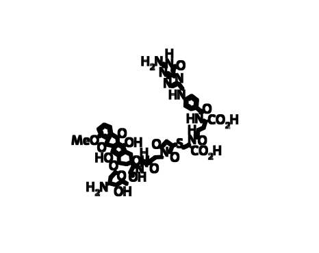 COc1cccc2c1C(=O)c1c(O)c3c(c(O)c1C2=O)C[C@@](O)(/C(CO)=N\NC(=O)CCN1C(=O)CC(SC[C@H](NC(=O)CC[C@H](NC(=O)c2ccc(NCc4cnc5nc(N)[nH]c(=O)c5n4)cc2)C(=O)O)C(=O)O)C1=O)C[C@@H]3O[C@H]1C[C@@H](N)[C@H](O)C(C)O1